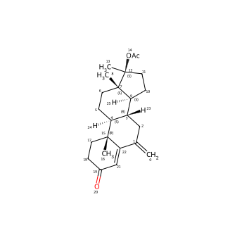 C=C1C[C@@H]2[C@H](CC[C@@]3(C)[C@H]2CC[C@]3(C)OC(C)=O)[C@@]2(C)CCC(=O)C=C12